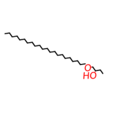 CCCCCCCCCCCCCCCCCCCCCCOCC(O)CC